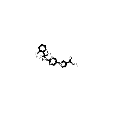 CC(C)(Nc1ncc(-n2cc(C(N)=O)cn2)cn1)c1ncccc1Cl